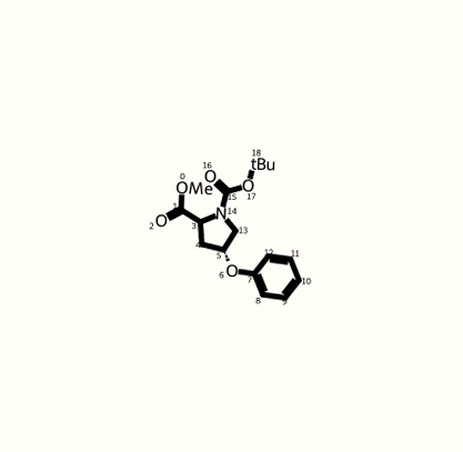 COC(=O)C1C[C@@H](Oc2ccccc2)CN1C(=O)OC(C)(C)C